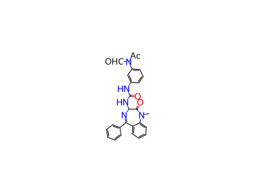 CC(=O)N(C=O)c1cccc(NC(=O)NC2N=C(c3ccccc3)c3ccccc3N(C)C2=O)c1